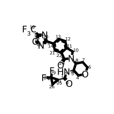 O=C(N[C@H]1COCCC1N1Cc2ccc(-c3noc(C(F)(F)F)n3)cc2C1=O)[C@H]1CC1(F)F